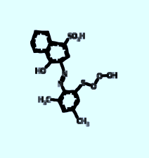 Cc1cc(C)c(N=Nc2cc(S(=O)(=O)O)c3ccccc3c2O)c(SOOO)c1